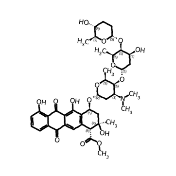 COC(=O)[C@@H]1c2cc3c(c(O)c2[C@@H](O[C@H]2C[C@H](N(C)C)[C@H](O[C@H]4C[C@H](O)[C@H](O[C@H]5CC[C@@H](O)[C@H](C)O5)[C@H](C)O4)[C@H](C)O2)C[C@@]1(C)O)C(=O)c1c(O)cccc1C3=O